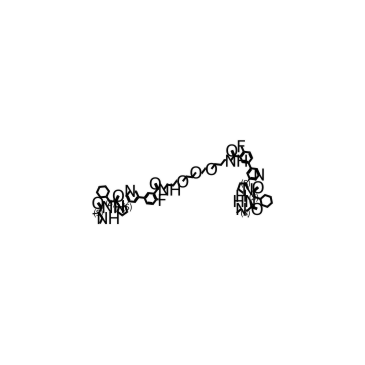 CN[C@@H](C)C(=O)N[C@H](C(=O)N1CCC[C@H]1c1cncc(-c2ccc(F)c(C(=O)NCCCOCCOCCOCCCNC(=O)c3cc(-c4cncc([C@@H]5CCCN5C(=O)[C@@H](NC(=O)[C@H](C)NC)C5CCCCC5)c4)ccc3F)c2)c1)C1CCCCC1